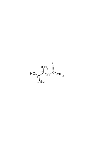 CCCCC(O)C(C)OC(N)=O